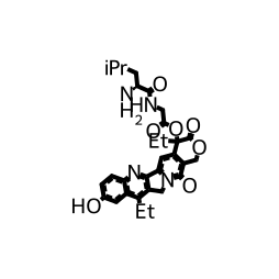 CCc1c2c(nc3ccc(O)cc13)-c1cc3c(c(=O)n1C2)COC(=O)C3(CC)OC(=O)CNC(=O)[C@@H](N)CC(C)C